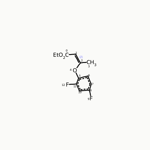 CCOC(=O)/C=C(/C)Oc1ccc(F)cc1F